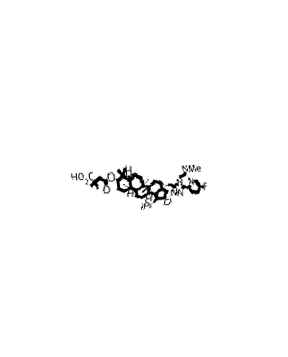 CNCCn1c(C[C@@]23CC[C@]4(C)[C@H](CC[C@@H]5[C@@]6(C)CC[C@H](OC(=O)CC(C)(C)C(=O)O)C(C)(C)[C@@H]6CC[C@]54C)C2=C(C(C)C)C(=O)C3)nnc1-c1ccc(F)cn1